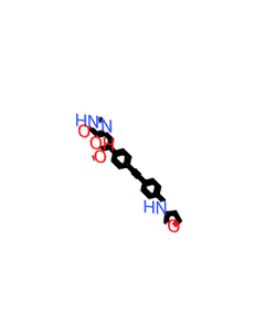 COCC(Cc1nc[nH]c(=O)c1O)c1ccc(C#Cc2ccc(CN[C@H]3CCOC3)cc2)cc1